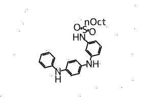 CCCCCCCCS(=O)(=O)Nc1cccc(Nc2ccc(Nc3ccccc3)cc2)c1